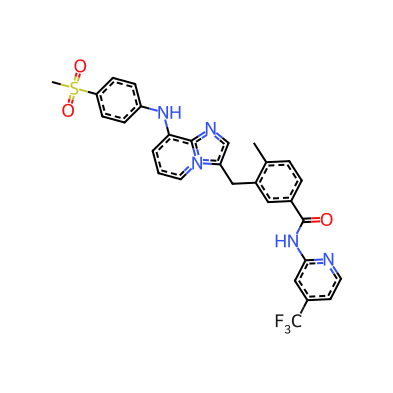 Cc1ccc(C(=O)Nc2cc(C(F)(F)F)ccn2)cc1Cc1cnc2c(Nc3ccc(S(C)(=O)=O)cc3)cccn12